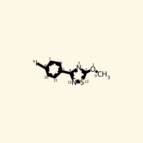 COc1nc(-c2ccc(I)cc2)ns1